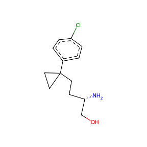 N[C@H](CO)CCC1(c2ccc(Cl)cc2)CC1